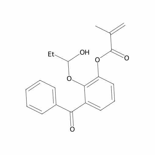 C=C(C)C(=O)Oc1cccc(C(=O)c2ccccc2)c1OC(O)CC